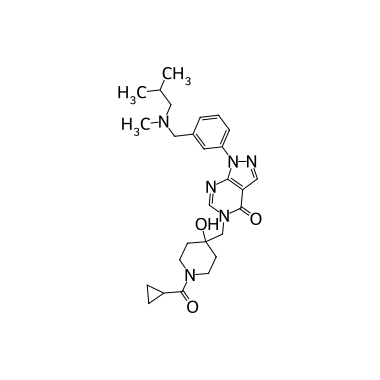 CC(C)CN(C)Cc1cccc(-n2ncc3c(=O)n(CC4(O)CCN(C(=O)C5CC5)CC4)cnc32)c1